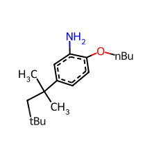 CCCCOc1ccc(C(C)(C)CC(C)(C)C)cc1N